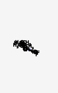 Cc1c(/C=C/CCN2CCC(F)(F)C2)cccc1B1OC(C)(C)C(C)(C)O1